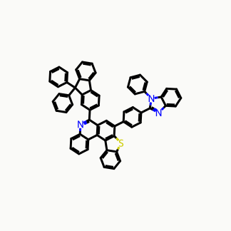 c1ccc(-n2c(-c3ccc(-c4cc5c(-c6ccc7c(c6)C(c6ccccc6)(c6ccccc6)c6ccccc6-7)nc6ccccc6c5c5c4sc4ccccc45)cc3)nc3ccccc32)cc1